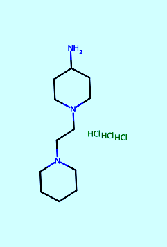 Cl.Cl.Cl.NC1CCN(CCN2CCCCC2)CC1